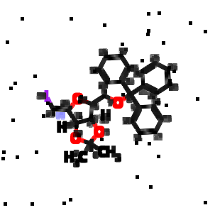 CC1(C)O[C@@H]2C(COC(c3ccccc3)(c3ccccc3)c3ccccc3)O/C(=C\I)[C@@H]2O1